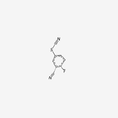 N#CSc1ccc(F)c(C#N)c1